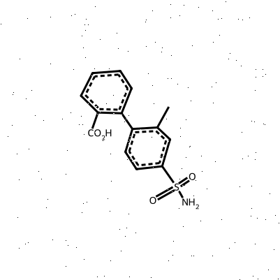 Cc1cc(S(N)(=O)=O)ccc1-c1ccccc1C(=O)O